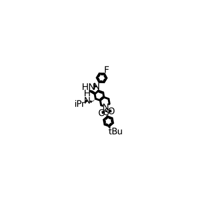 CC(C)NC[C@@H]1C2=CNN(c3ccc(F)cc3)C2=CC2=C1CN(S(=O)(=O)c1ccc(C(C)(C)C)cc1)CC2